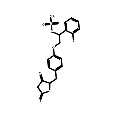 NS(=O)(=O)OC(COc1ccc(CC2SC(=O)CC2=O)cc1)c1ccccc1F